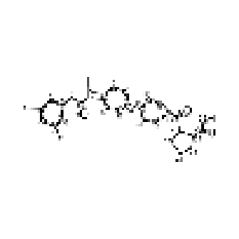 Cc1cc(C)cc(CC(=O)Nc2ccc(-c3ccc(C(=O)C4CCCC4C(=O)O)nc3)cc2)c1